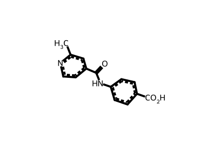 Cc1cc(C(=O)Nc2ccc(C(=O)O)cc2)ccn1